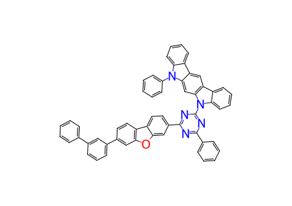 c1ccc(-c2cccc(-c3ccc4c(c3)oc3cc(-c5nc(-c6ccccc6)nc(-n6c7ccccc7c7cc8c9ccccc9n(-c9ccccc9)c8cc76)n5)ccc34)c2)cc1